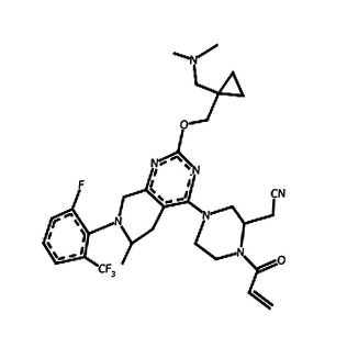 C=CC(=O)N1CCN(c2nc(OCC3(CN(C)C)CC3)nc3c2CC(C)N(c2c(F)cccc2C(F)(F)F)C3)CC1CC#N